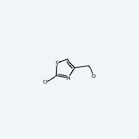 [O]Cc1[c]sc(Cl)n1